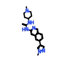 C=C(Nc1cc2cc(-c3cnn(C)c3)ccc2cn1)NC1CCN(C)CC1